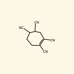 N#CC1=C(C#N)CC(C#N)C(C#N)CC1